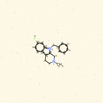 CN1CCc2c(n(Cc3ccccc3)c3cc(F)ccc23)C1